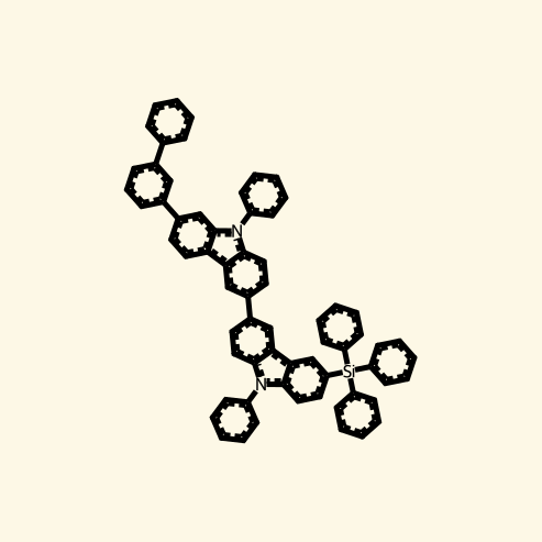 c1ccc(-c2cccc(-c3ccc4c5cc(-c6ccc7c(c6)c6cc([Si](c8ccccc8)(c8ccccc8)c8ccccc8)ccc6n7-c6ccccc6)ccc5n(-c5ccccc5)c4c3)c2)cc1